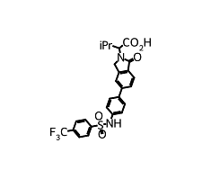 CC(C)C(C(=O)O)N1Cc2cc(-c3ccc(NS(=O)(=O)c4ccc(C(F)(F)F)cc4)cc3)ccc2C1=O